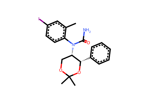 Cc1cc(I)ccc1N(C(N)=O)[C@H]1COC(C)(C)O[C@H]1c1ccccc1